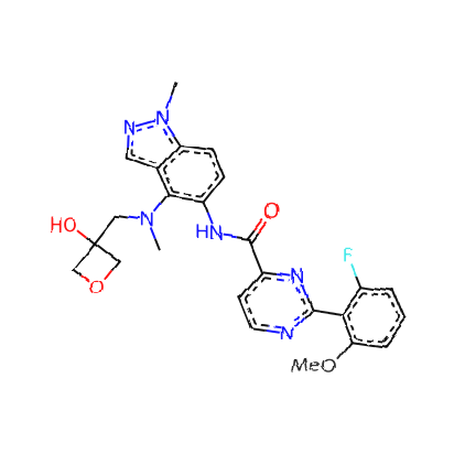 COc1cccc(F)c1-c1nccc(C(=O)Nc2ccc3c(cnn3C)c2N(C)CC2(O)COC2)n1